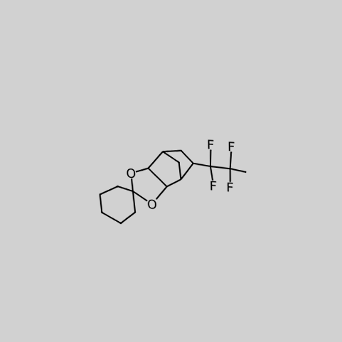 CC(F)(F)C(F)(F)C1CC2CC1C1OC3(CCCCC3)OC21